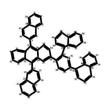 c1ccc2cc(-c3c4ccccc4c(-c4ccc5ccccc5c4)c4cc(-c5ccc(-c6cccc7ccccc67)nc5-c5cccc6ccccc56)ccc34)ccc2c1